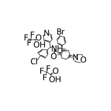 O=C(NC(c1ccncc1)c1ccc(Cl)cc1)[C@@H]1CC[C@@H](N2CCOCC2)C[C@H]1c1ccc(Br)cc1.O=C(O)C(F)(F)F.O=C(O)C(F)(F)F